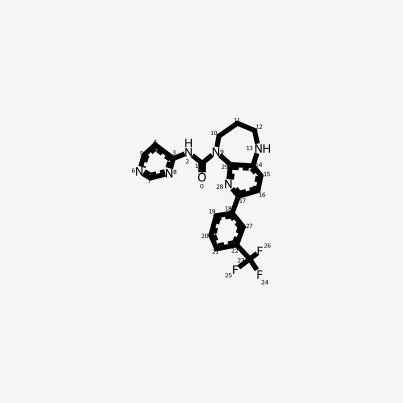 O=C(Nc1ccncn1)N1CCCNc2ccc(-c3cccc(C(F)(F)F)c3)nc21